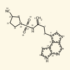 C=C(CCn1cnc2cnc3[nH]ccc3c21)NS(=O)(=O)N1CCC(C#N)C1